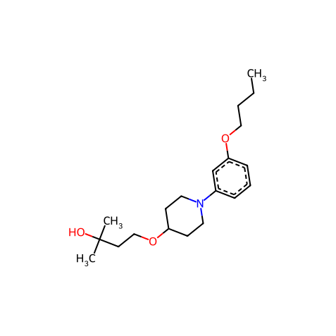 CCCCOc1cccc(N2CCC(OCCC(C)(C)O)CC2)c1